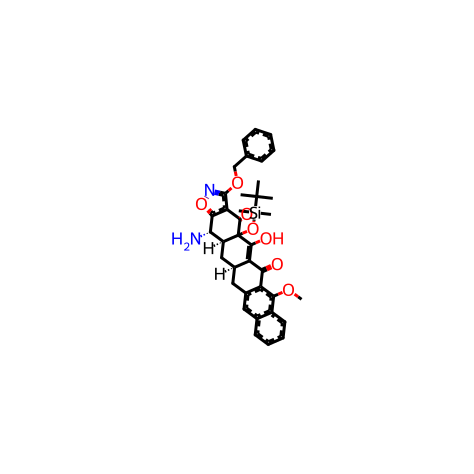 COc1c2c(cc3ccccc13)C[C@H]1C[C@H]3[C@H](N)c4onc(OCc5ccccc5)c4C(=O)C3(O[Si](C)(C)C(C)(C)C)C(O)=C1C2=O